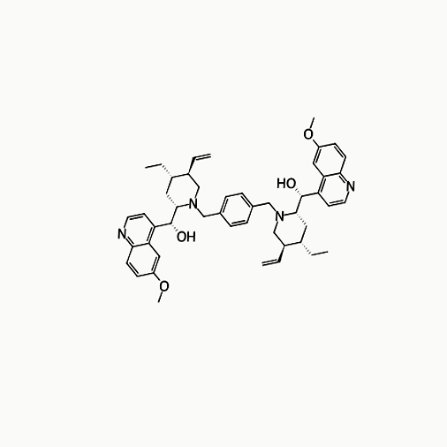 C=C[C@H]1CN(Cc2ccc(CN3C[C@H](C=C)[C@@H](CC)C[C@H]3[C@H](O)c3ccnc4ccc(OC)cc34)cc2)[C@H]([C@H](O)c2ccnc3ccc(OC)cc23)C[C@@H]1CC